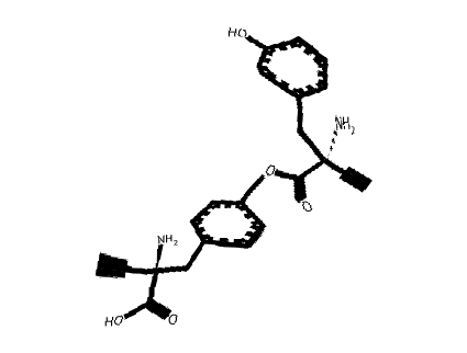 C#C[C@](N)(Cc1ccc(OC(=O)[C@](N)(C#C)Cc2cccc(O)c2)cc1)C(=O)O